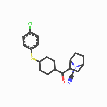 N#CN1C2CCC1C(C(=O)C1CCC(Sc3ccc(Cl)cc3)CC1)C2